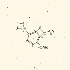 COc1ccc(C2CCC2)c2c1C(C#N)C2